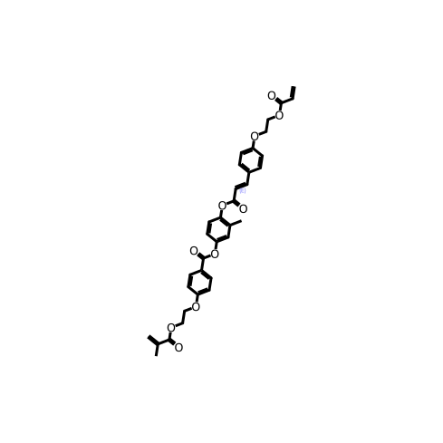 C=CC(=O)OCCOc1ccc(/C=C/C(=O)Oc2ccc(OC(=O)c3ccc(OCCOC(=O)C(=C)C)cc3)cc2C)cc1